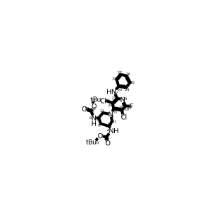 CC(C)(C)OC(=O)NC1CC(NC(=O)OC(C)(C)C)CN(c2c(Cl)c(F)nc(Nc3ccccc3)c2Cl)C1